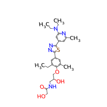 CCc1cc(-c2nnc(-c3cc(C)nc(N(CC)CC)c3)s2)cc(C)c1OC[C@@H](O)CNC(=O)CO